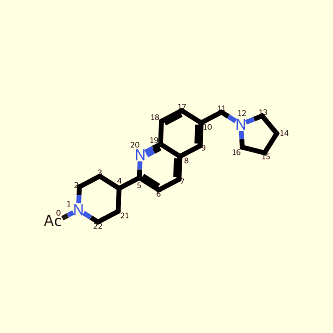 CC(=O)N1CCC(c2ccc3cc(CN4CCCC4)ccc3n2)CC1